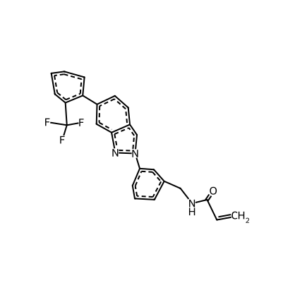 C=CC(=O)NCc1cccc(-n2cc3ccc(-c4ccccc4C(F)(F)F)cc3n2)c1